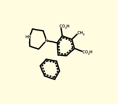 Cc1c(C(=O)O)ccc(N2CCNCC2)c1C(=O)O.c1ccccc1